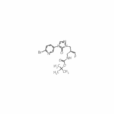 CC(C)(C)OC(=O)NC/C(=C\F)Cn1ncn(-c2ccc(Br)nc2)c1=O